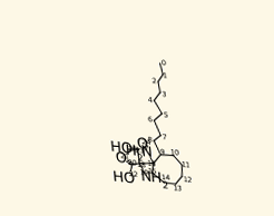 CCCCCCCCCC1CCCCCCC1(N)C(N)(C(=O)O)C(=O)O